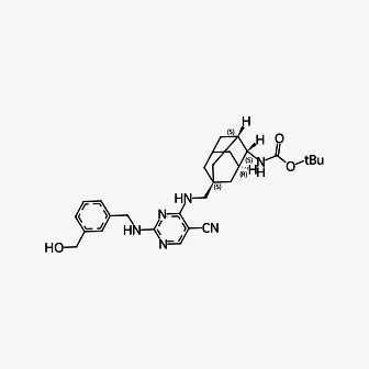 CC(C)(C)OC(=O)N[C@@H]1[C@@H]2CC3C[C@H]1C[C@@](CNc1nc(NCc4cccc(CO)c4)ncc1C#N)(C3)C2